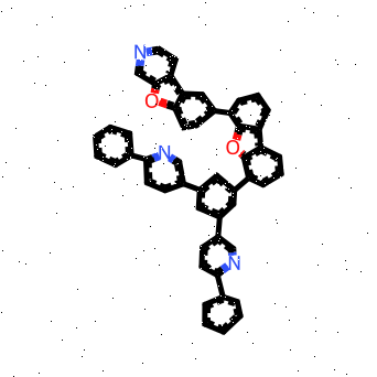 c1ccc(-c2ccc(-c3cc(-c4ccc(-c5ccccc5)nc4)cc(-c4cccc5c4oc4c(-c6ccc7oc8cnccc8c7c6)cccc45)c3)cn2)cc1